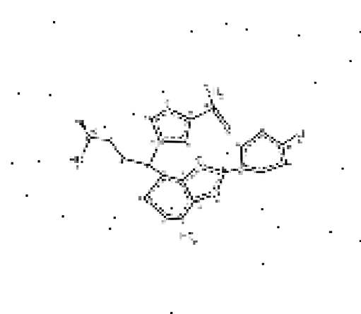 C[C@H](O)CCC(c1cccc2oc(-c3ccc(Cl)cc3)nc12)n1cnc(C(N)=O)c1.Cl